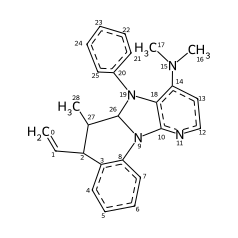 C=CC1c2ccccc2N2c3nccc(N(C)C)c3N(c3ccccc3)C2C1C